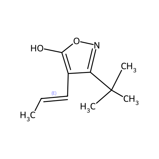 C/C=C/c1c(C(C)(C)C)noc1O